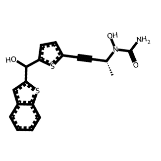 C[C@H](C#Cc1ccc(C(O)c2cc3ccccc3s2)s1)N(O)C(N)=O